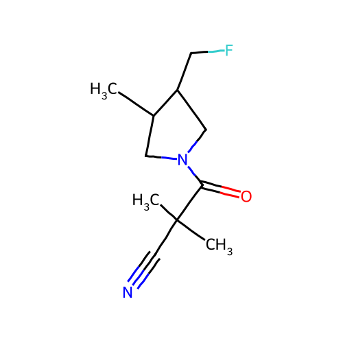 CC1CN(C(=O)C(C)(C)C#N)CC1CF